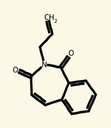 C=CCn1c(=O)ccc2ccccc2c1=O